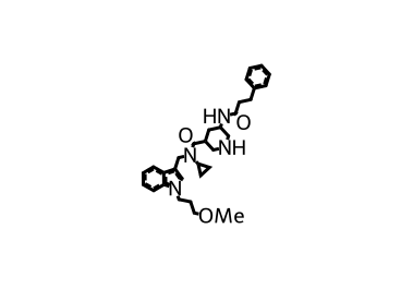 COCCCn1cc(CN(C(=O)C2CNCC(NC(=O)CCc3ccccc3)C2)C2CC2)c2ccccc21